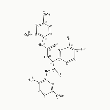 COc1ccc(C)c(NC(=O)C(NC(=S)Nc2ccc(OC)cc2[N+](=O)[O-])c2ccc(F)c(F)c2)c1